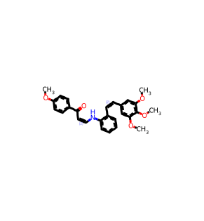 COc1ccc(C(=O)/C=C\Nc2ccccc2/C=C\c2cc(OC)c(OC)c(OC)c2)cc1